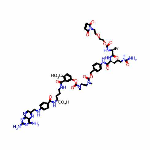 CC(C)[C@H](NC(=O)OCCOCCN1C(=O)C=CC1=O)C(=O)N[C@@H](CCCNC(N)=O)C(=O)Nc1ccc(COC(=O)N(C)CCN(C)C(=O)Oc2ccc(C(=O)O)c(C(=O)NCCC[C@H](NC(=O)c3ccc(NCc4cnc5nc(N)nc(N)c5n4)cc3)C(=O)O)c2)cc1